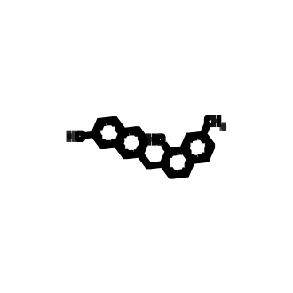 Cc1ccc2ccc(Cc3ccc4ccc(O)cc4c3)c(O)c2c1